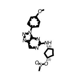 COc1ccc(-n2nnc3cnc(N[C@@H]4CC[C@H](OS(C)=O)C4)nc32)cc1